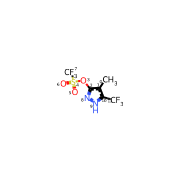 Cc1c(OS(=O)(=O)C(F)(F)F)n[nH]c1C(F)(F)F